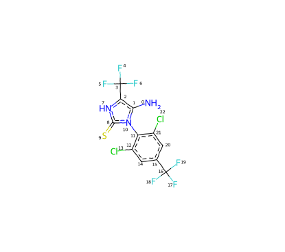 Nc1c(C(F)(F)F)[nH]c(=S)n1-c1c(Cl)cc(C(F)(F)F)cc1Cl